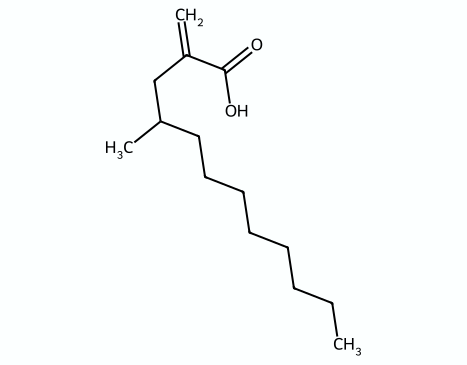 C=C(CC(C)CCCCCCCC)C(=O)O